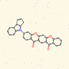 O=c1c2ccccc2oc2cc3oc4cc(-n5c6c(c7ccccc75)C=CC6)ccc4c(=O)c3cc12